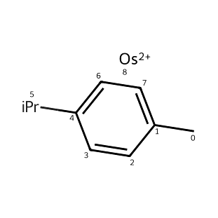 Cc1ccc(C(C)C)cc1.[Os+2]